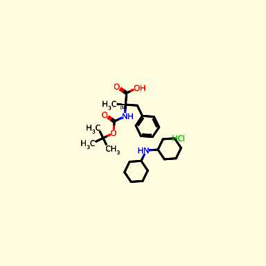 C1CCC(NC2CCCCC2)CC1.CC(C)(C)OC(=O)N[C@@](C)(Cc1ccccc1)C(=O)O.Cl